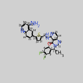 C[C@@H](c1ccc(F)c(F)c1)n1cnc2ccnc(NCc3ccc(-c4ccc5nccc(N)c5c4)s3)c2c1=O